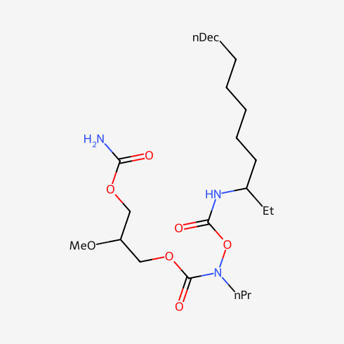 CCCCCCCCCCCCCCCC(CC)NC(=O)ON(CCC)C(=O)OCC(COC(N)=O)OC